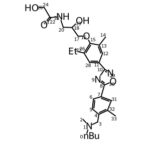 CCCCN(C)Cc1ccc(-c2nc(-c3cc(C)c(OCC(O)CNC(=O)CO)c(CC)c3)no2)cc1C